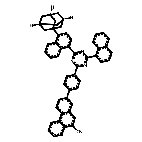 N#Cc1cc2cc(-c3ccc(-c4nc(-c5cccc6ccccc56)nc(-c5ccc(C67C[C@H]8C[C@@H](C6)C[C@@H](C7)C8)c6ccccc56)n4)cc3)ccc2c2ccccc12